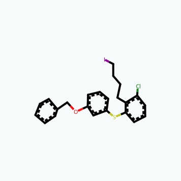 Clc1cccc(Sc2cccc(OCc3ccccc3)c2)c1CCCCI